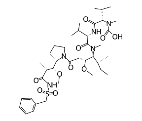 CC[C@@H](C)[C@@H]([C@@H](CC(=O)N1CCC[C@H]1[C@H](OC)[C@@H](C)C(=O)NS(=O)(=O)Cc1ccccc1)OC)N(C)C(=O)[C@@H](NC(=O)[C@H](C(C)C)N(C)C(=O)O)C(C)C